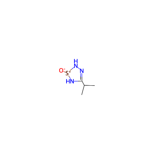 CC(C)C1=NN[S+]([O-])N1